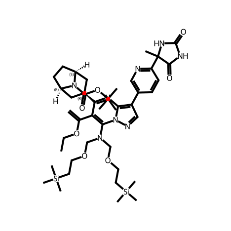 C=C(OCC)c1c([C@H]2C[C@H]3CC[C@@H](C2)N3C(=O)OC(C)(C)C)nc2c(-c3ccc(C4(C)NC(=O)NC4=O)nc3)cnn2c1N(COCC[Si](C)(C)C)COCC[Si](C)(C)C